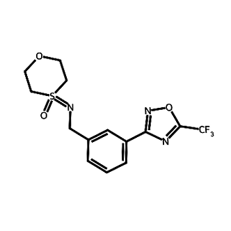 O=S1(=NCc2cccc(-c3noc(C(F)(F)F)n3)c2)CCOCC1